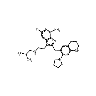 CC(C)CNCCn1c(Cc2cc3c(cc2N2CCCC2)NCCC3)nc2c(N)nc(F)nc21